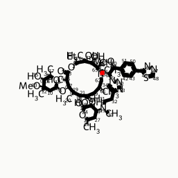 CC[C@H]1OC(=O)[C@H](C)[C@@H](O[C@H]2C[C@@](C)(OC)[C@@H](O)[C@H](C)O2)[C@H](C)[C@@H](O[C@@H]2O[C@H](C)C[C@H](N(C)CCc3cn([C@H](CF)[C@H](OC)c4ccc(-c5nncs5)cc4)nn3)[C@H]2O)[C@](C)(O)C[C@@H](C)CN(C)[C@H](C)[C@@H](O)[C@]1(C)O